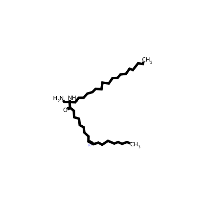 CCCCCCCC/C=C\CCCCCCCC(=O)C(N)(CN)CCCCCCCCCCCCCCCCCC